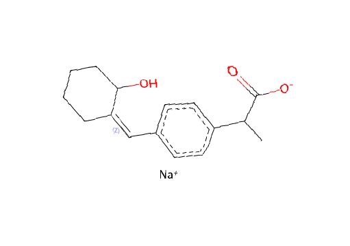 CC(C(=O)[O-])c1ccc(/C=C2/CCCCC2O)cc1.[Na+]